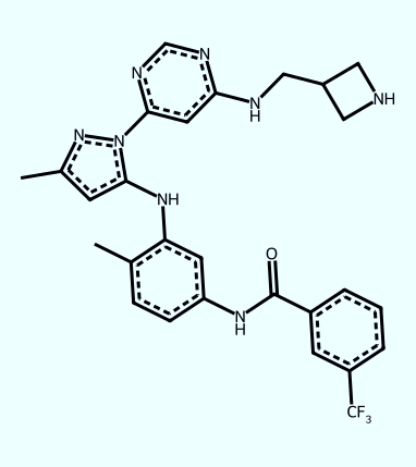 Cc1cc(Nc2cc(NC(=O)c3cccc(C(F)(F)F)c3)ccc2C)n(-c2cc(NCC3CNC3)ncn2)n1